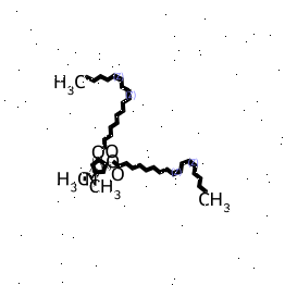 CCCCC/C=C\C/C=C\CCCCCCCC(=O)O[C@H]1C[C@H](N(C)C)C[C@H]1OC(=O)CCCCCCC/C=C\C/C=C\CCCCC